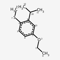 CCOc1ccc(SC)c([C](C)C)c1